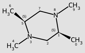 C[C@H]1CN(C)[C@@H](C)CN1C